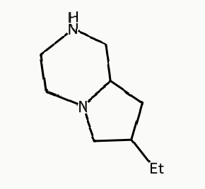 CCC1CC2CNCCN2C1